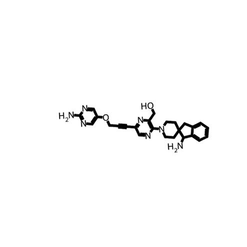 Nc1ncc(OCC#Cc2cnc(N3CCC4(CC3)Cc3ccccc3C4N)c(CO)n2)cn1